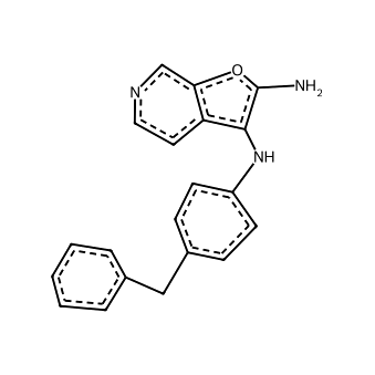 Nc1oc2cnccc2c1Nc1ccc(Cc2ccccc2)cc1